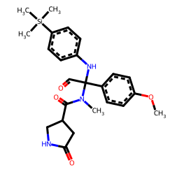 COc1ccc(C(C=O)(Nc2ccc([Si](C)(C)C)cc2)N(C)C(=O)C2CNC(=O)C2)cc1